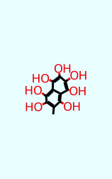 Cc1c(O)c(O)c2c(O)c(O)c(O)c(O)c2c1O